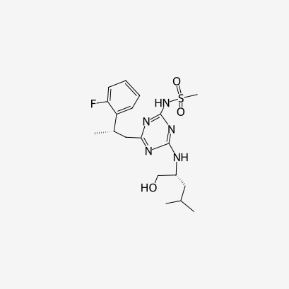 CC(C)C[C@H](CO)Nc1nc(C[C@H](C)c2ccccc2F)nc(NS(C)(=O)=O)n1